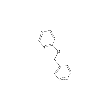 c1ccc(COc2ccncn2)cc1